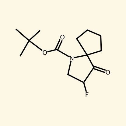 CC(C)(C)OC(=O)N1CC(F)C(=O)C12CCCC2